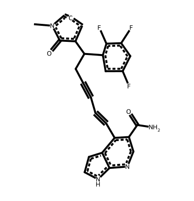 Cn1cccc(C(CC#CC#Cc2c(C(N)=O)cnc3[nH]ccc23)c2cc(F)cc(F)c2F)c1=O